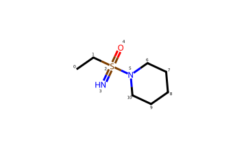 CCS(=N)(=O)N1CCCCC1